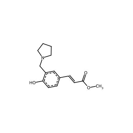 COC(=O)C=Cc1ccc(O)c(CN2CCCC2)c1